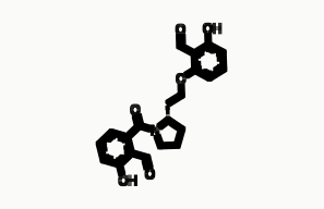 O=Cc1c(O)cccc1OCC[C@@H]1CCCN1C(=O)c1cccc(O)c1C=O